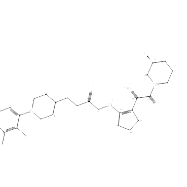 Cc1cccc(N2CCC(CCC(=O)CNC3=C(C(=N)C(=O)N4CCC[C@H](F)C4)CCC3)CC2)c1C